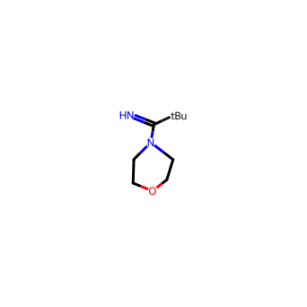 CC(C)(C)C(=N)N1CCOCC1